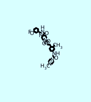 Cc1cc(NCC(=O)N2CCN(C)CC2)ccc1/C=C/S(=O)(=O)N1CCC2(CC1)N=C(c1cccc(OF)c1)NC2=O